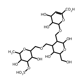 CC1OC(COCC2C(O)C(CO)OC(O)C2COC2OC(C(=O)O)=CC(O)C2O)C(O)C(OS(=O)(=O)O)C1O